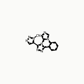 N#Cn1nncc1-c1nnc2c3ccccc3n3cncc3n12